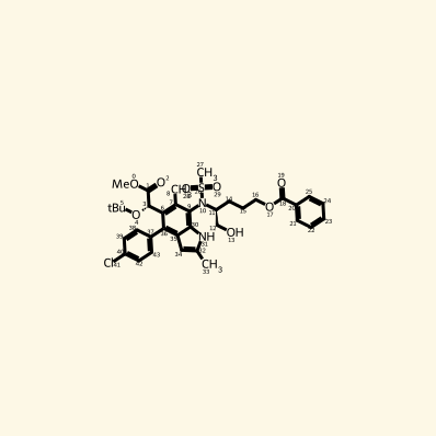 COC(=O)[C@@H](OC(C)(C)C)c1c(C)c(N([C@H](CO)CCCOC(=O)c2ccccc2)S(C)(=O)=O)c2[nH]c(C)cc2c1-c1ccc(Cl)cc1